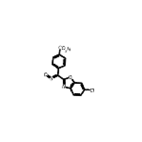 O=S=C(c1ccc(C(=O)O)cc1)c1nc2ccc(Cl)cc2o1